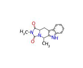 CC1c2[nH]c3ccccc3c2CC2C(=O)N(C)C(=O)N21